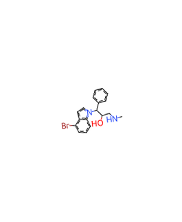 CNCC(O)C(c1ccccc1)n1ccc2c(Br)cccc21